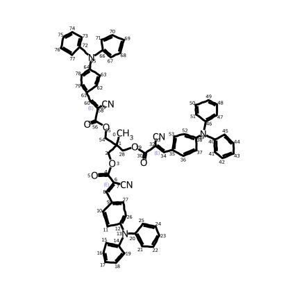 CC(COC(=O)/C(C#N)=C/c1ccc(N(c2ccccc2)c2ccccc2)cc1)(COC(=O)/C(C#N)=C/c1ccc(N(c2ccccc2)c2ccccc2)cc1)COC(=O)/C(C#N)=C/c1ccc(N(c2ccccc2)c2ccccc2)cc1